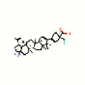 C=C(C)[C@@H]1CC[C@]2(N)CC[C@]3(C)[C@H](CC[C@@H]4[C@@]5(C)CC=C(C6=CCC(CF)(C(=O)O)CC6)C(C)(C)[C@@H]5CC[C@]43C)[C@@H]12